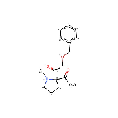 COC(=O)C1(C(=O)COCc2ccccc2)CCCN1C(C)=O